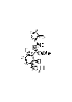 COC(=NC(=O)c1sccc1C)c1c(F)ccc(S(=O)(=O)O)c1Cl